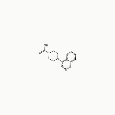 O=C(O)C1CCN(c2cncc3ccccc23)CC1